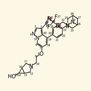 N#Cc1cnn2cc(OCCN3CC4C(O)C4C3)cc(-c3ccc(N4CC5CC(C4)N5CCOC(F)(F)F)nc3)c12